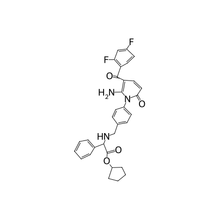 Nc1c(C(=O)c2ccc(F)cc2F)ccc(=O)n1-c1ccc(CNC(C(=O)OC2CCCC2)c2ccccc2)cc1